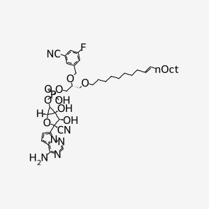 CCCCCCCC/C=C/CCCCCCCCOC[C@H](COP(=O)(O)OC1[C@H]2O[C@@](C#N)(c3ccc4c(N)ncnn34)[C@H](O)[C@@]12O)OCc1cc(F)cc(C#N)c1